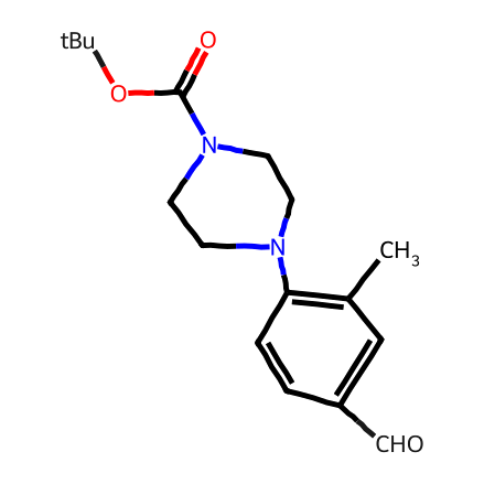 Cc1cc(C=O)ccc1N1CCN(C(=O)OC(C)(C)C)CC1